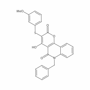 COc1cccc(Sc2c(O)c3c(=O)n(Cc4ccccc4)c4ccccc4c3oc2=O)c1